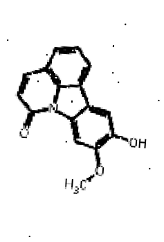 COc1cc2c(cc1O)c1cccc3ccc(=O)n2c31